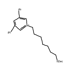 CCCCCCCCCCCCCCCCC[n+]1cc(C(C)C)cc(C(C)C)c1